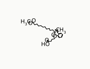 COC(=O)CCCCCCCCCCC(=O)N(C)c1ccccc1OCCCC(=O)O